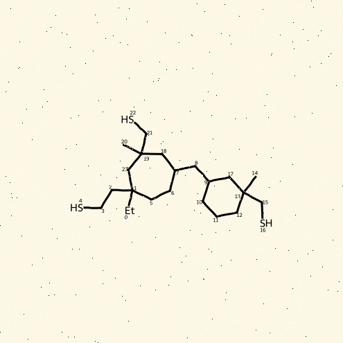 CCC1(CCS)CCC(CC2CCCC(C)(CS)C2)CC(C)(CS)C1